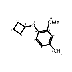 COc1cc(C)ccc1OC1CCC1